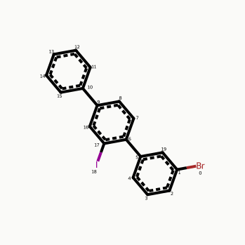 Brc1cccc(-c2ccc(-c3ccccc3)cc2I)c1